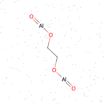 [O]=[Al][O]CC[O][Al]=[O]